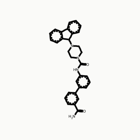 NC(=O)c1cccc(-c2cccc(NC(=O)N3CCN(C4c5ccccc5-c5ccccc54)CC3)c2)c1